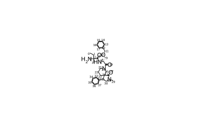 CCC(C)(N)C(=O)N[C@H](COCc1ccccc1)C(=O)N1CCCC2(C1)C(=O)N(C)CC2c1ccccc1